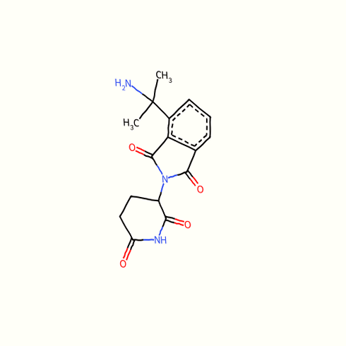 CC(C)(N)c1cccc2c1C(=O)N(C1CCC(=O)NC1=O)C2=O